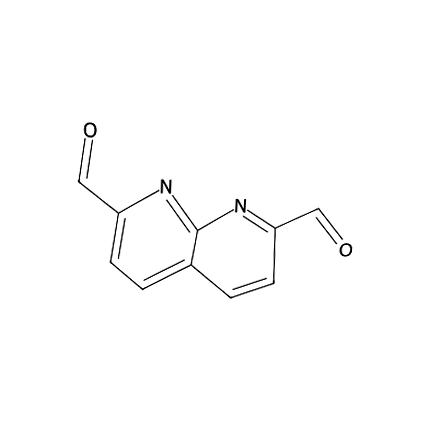 O=Cc1ccc2ccc(C=O)nc2n1